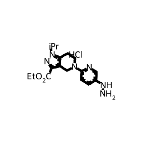 CCOC(=O)c1nn(C(C)C)c2c1CN(c1ccc(NN)cn1)CC2.Cl